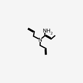 C=CCN(CC=C)C(N)=CC